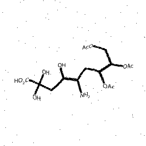 CC(=O)OCC(OC(C)=O)C(CC(N)C(O)CC(O)(O)C(=O)O)OC(C)=O